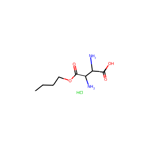 CCCCOC(=O)C(N)C(N)C(=O)O.Cl